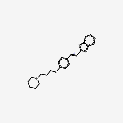 C(=C\c1nc2ccccc2s1)/c1ccc(OCCCN2CCCCC2)cc1